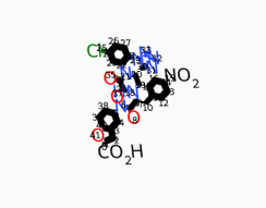 O=C(O)c1cc2cc(NC(=O)[C@H](Cc3ccc([N+](=O)[O-])cc3)N3CCN(c4cc(Cl)ccc4-n4cnnn4)C(=O)C3=O)ccc2o1